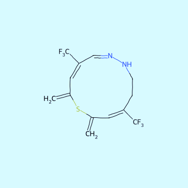 C=C1/C=C(C(F)(F)F)\C=N/NCC/C(C(F)(F)F)=C\C(=C)S1